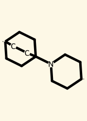 [CH]1CCN(C23CC[C](CC2)CC3)CC1